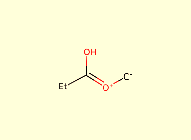 [CH2-]/[O+]=C(\O)CC